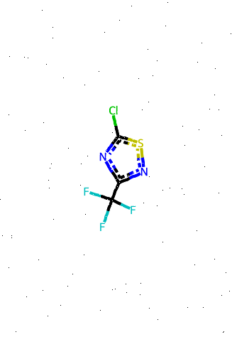 FC(F)(F)c1nsc(Cl)n1